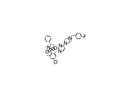 COc1cc(C)c(S(=O)(=O)N(C)C(COc2nccc(N3CC4CC3CN4Cc3ccc(F)cc3)n2)c2ccccc2)c(C)c1